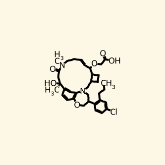 CCCc1cc(Cl)ccc1C1COc2ccc3cc2N(C1)CC1CCC1C(OCC(=O)O)/C=C/CCN(C)C(=O)C[C@@]3(C)O